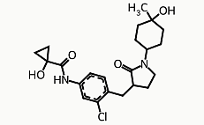 CC1(O)CCC(N2CCC(Cc3ccc(NC(=O)C4(O)CC4)cc3Cl)C2=O)CC1